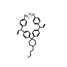 C=CC(c1ccc(N)cc1)c1ccc(C2(c3ccc(C(C=C)c4ccc(N)cc4)cc3)CCC(CCCC)CC2)cc1